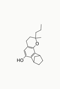 CCCC1(C)CCc2cc(O)c3c(c2O1)C1CCC3C1